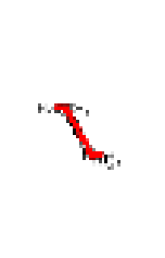 CCCCC(CC)C(=O)OCCOCCOCCOCCOCCOCCOC(=O)C(CC)CCCC